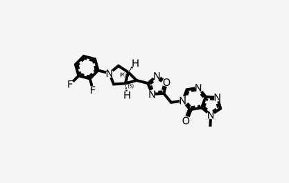 Cn1cnc2ncn(Cc3nc(C4[C@H]5CN(c6cccc(F)c6F)C[C@@H]45)no3)c(=O)c21